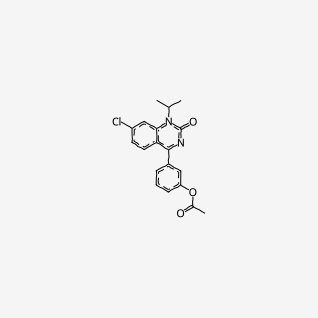 CC(=O)Oc1cccc(-c2nc(=O)n(C(C)C)c3cc(Cl)ccc23)c1